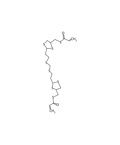 C=CC(=O)SCC1CSC(CCSCSCCC2SCC(CSC(=O)C=C)S2)S1